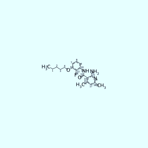 CCCCCOc1cccc(NC(=O)c2c(C)cc(C)nc2N)c1F